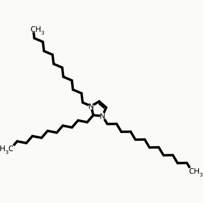 CCCCCCCCCCCCCN1C=CN(CCCCCCCCCCCC)C1CCCCCCCCCCC